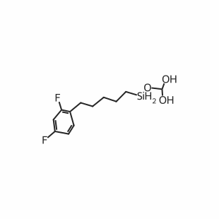 OC(O)O[SiH2]CCCCCc1ccc(F)cc1F